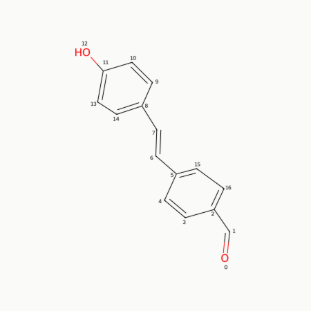 O=Cc1ccc(C=Cc2ccc(O)cc2)cc1